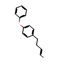 O=C(O)C=CCCc1ccc(Oc2ccccc2)cc1